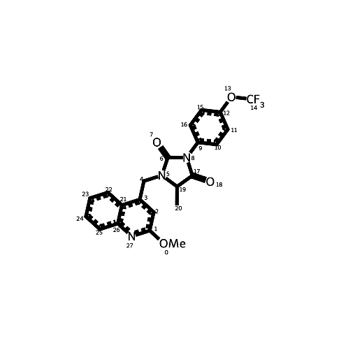 COc1cc(CN2C(=O)N(c3ccc(OC(F)(F)F)cc3)C(=O)C2C)c2ccccc2n1